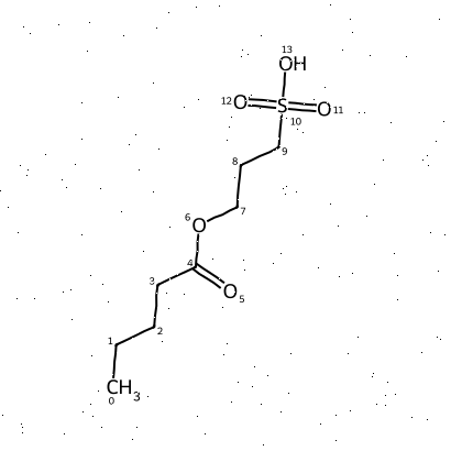 CCCCC(=O)OCCCS(=O)(=O)O